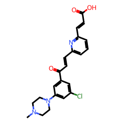 CN1CCN(c2cc(Cl)cc(C(=O)C=Cc3cccc(C=CC(=O)O)n3)c2)CC1